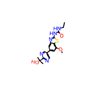 CCNC(=O)Nc1nc2cc(-c3cnc(C(C)(C)O)nc3)cc(OC)c2s1